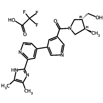 Cc1nc(-c2cc(-c3cncc(C(=O)N4C[C@H](CO)[C@@H](C)C4)c3)ccn2)[nH]c1C.O=C(O)C(F)(F)F